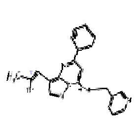 C/C(Br)=C/c1cnn2c(NCc3cccnc3)cc(-c3ccccc3)nc12